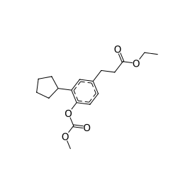 CCOC(=O)CCc1ccc(OC(=O)OC)c(C2CCCC2)c1